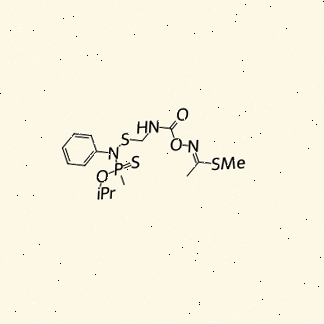 CSC(C)=NOC(=O)NCSN(c1ccccc1)P(C)(=S)OC(C)C